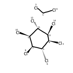 ClCCl.Cl[C@H]1[C@H](Cl)[C@@H](Cl)[C@@H](Cl)[C@H](Cl)[C@H]1Cl